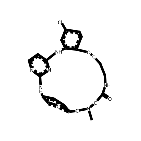 CN1CC(=O)NCCCOc2ccc(Cl)cc2Nc2ccnc(n2)Nc2ccc(cc2)C1